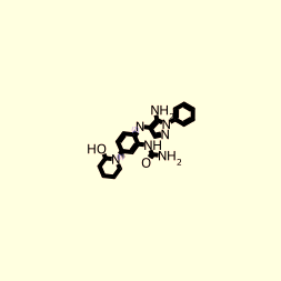 NC(=O)NC1=CC(=[N+]2\CCCCC2O)/C=CC/1=N/c1cnn(-c2ccccc2)c1N